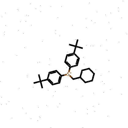 CC(C)(C)c1ccc([S+](CC2CCCCC2)c2ccc(C(C)(C)C)cc2)cc1